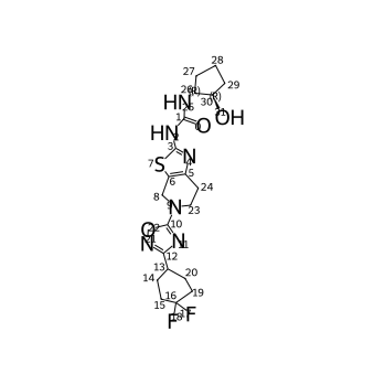 O=C(Nc1nc2c(s1)CN(c1nc(C3CCC(F)(F)CC3)no1)CC2)N[C@@H]1CCC[C@H]1O